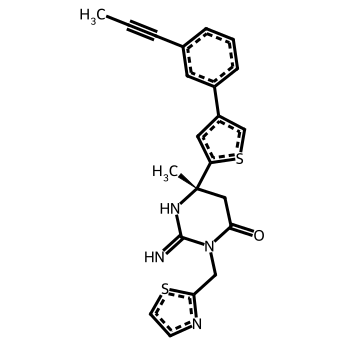 CC#Cc1cccc(-c2csc([C@]3(C)CC(=O)N(Cc4nccs4)C(=N)N3)c2)c1